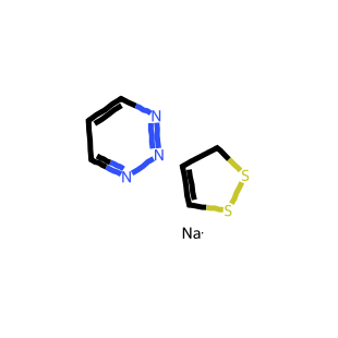 C1=CSSC1.[Na].c1cnnnc1